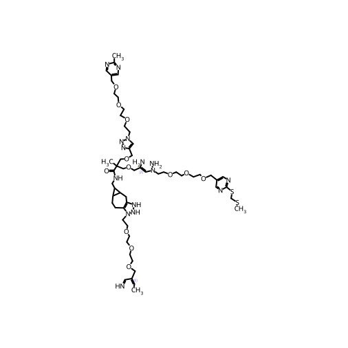 C/C=C(\C=N)COCCOCCOCCN1NNC2=C1CCC1C(CNC(=O)C(C)(COC/C(N)=C/N(N)CCOCCOCCOCc3cnc(SCSC)nc3)COCc3cn(CCOCCOCCOCc4cnc(C)nc4)nn3)C1C2